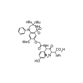 CCCCC1(CCCC)CN(c2ccccc2)c2cc(SC)c(OCC(=O)NC(C(=O)C(N)C(CCC)C(=O)O)c3ccc(O)cc3)cc2S(=O)(=O)N1